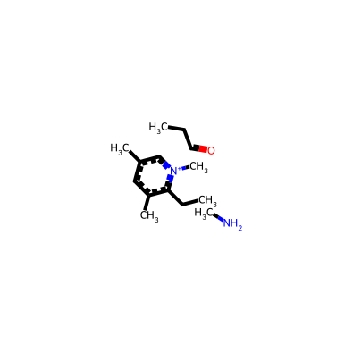 CCC=O.CCc1c(C)cc(C)c[n+]1C.CN